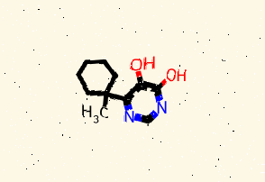 CC1(c2n[c]nc(O)c2O)CCCCC1